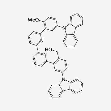 COc1ccc(-n2c3ccccc3c3ccccc32)cc1-c1cccc(-c2cccc(-c3cc(-n4c5ccccc5c5ccccc54)ccc3CO)n2)n1